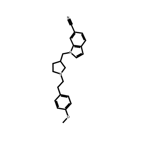 COc1ccc(CCN2CCC(Cn3ccc4ccc(C#N)cc43)C2)cc1